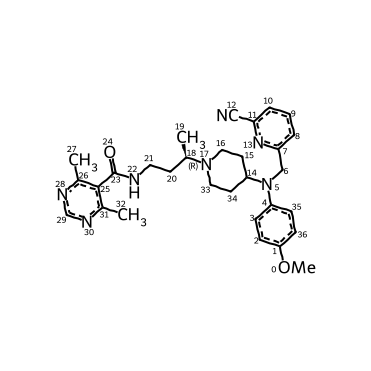 COc1ccc(N(Cc2cccc(C#N)n2)C2CCN([C@H](C)CCNC(=O)c3c(C)ncnc3C)CC2)cc1